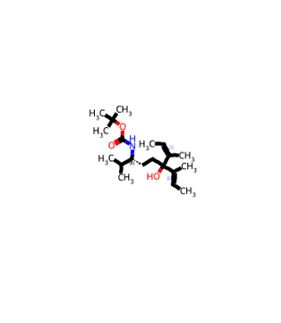 C/C=C(/C)C(O)(CC[C@@H](NC(=O)OC(C)(C)C)C(C)C)/C(C)=C/C